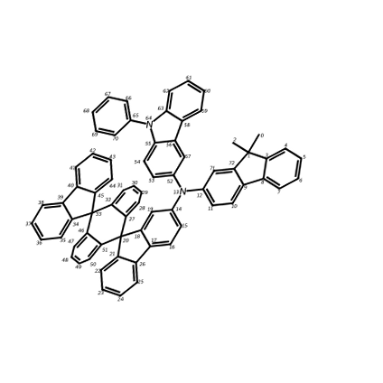 CC1(C)c2ccccc2-c2ccc(N(c3ccc4c(c3)C3(c5ccccc5-4)c4ccccc4C4(c5ccccc5-c5ccccc54)c4ccccc43)c3ccc4c(c3)c3ccccc3n4-c3ccccc3)cc21